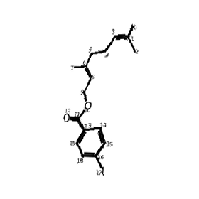 CC(C)=CCC/C(C)=C/COC(=O)c1ccc(I)cc1